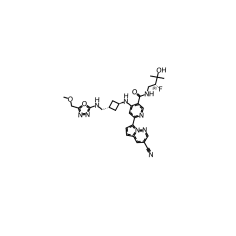 COCc1nnc(NC[C@H]2C[C@H](Nc3cc(-c4ccc5cc(C#N)cnn45)ncc3C(=O)NC[C@@H](F)C(C)(C)O)C2)o1